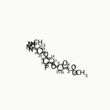 COC(=O)C[C@@H]1COc2cc(O[C@@H]3CCc4c(Oc5ccc(-c6nnnn6C)cc5)ccc(F)c43)ccc21